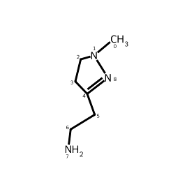 CN1CCC(CCN)=N1